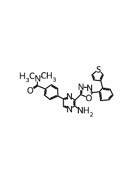 CN(C)C(=O)c1ccc(-c2cnc(N)c(-c3nnc(-c4ccccc4-c4ccsc4)o3)n2)cc1